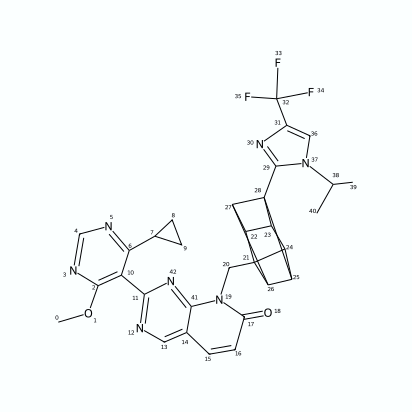 COc1ncnc(C2CC2)c1-c1ncc2ccc(=O)n(CC34C5C6C3C3C4C5C63c3nc(C(F)(F)F)cn3C(C)C)c2n1